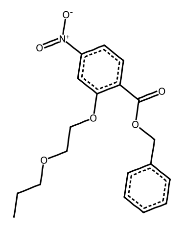 CCCOCCOc1cc([N+](=O)[O-])ccc1C(=O)OCc1ccccc1